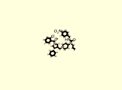 C=CCN(C(=O)NCc1ccc([N+](=O)[O-])cc1)C1CCN(CC2CN(C(=O)c3ccccc3Cl)C[C@H]2c2ccccc2)CC1